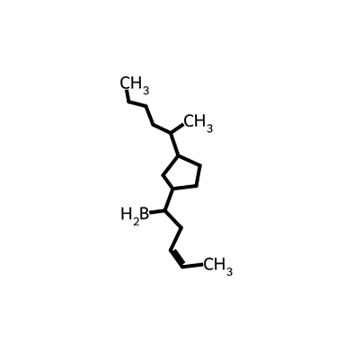 BC(C/C=C\C)C1CCC(C(C)CCCC)C1